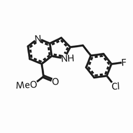 COC(=O)c1ccnc2cc(Cc3ccc(Cl)c(F)c3)[nH]c12